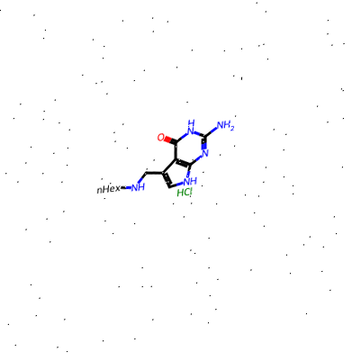 CCCCCCNCc1c[nH]c2nc(N)[nH]c(=O)c12.Cl